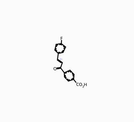 O=C(O)c1ccc(C(=O)/C=C/c2ccc(F)cc2)cc1